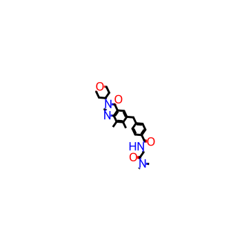 Cc1c(Cc2ccc(C(=O)NCC(=O)N(C)C)cc2)cc2c(=O)n(C3CCOCC3)cnc2c1C